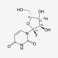 [2H][C@]1(O)[C@@H](O)[C@](F)(n2ccc(=O)[nH]c2=O)O[C@@H]1CO